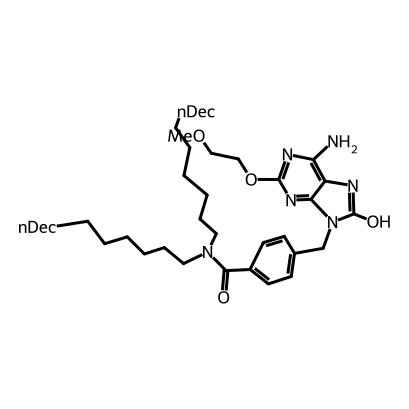 CCCCCCCCCCCCCCCCN(CCCCCCCCCCCCCCCC)C(=O)c1ccc(Cn2c(O)nc3c(N)nc(OCCOC)nc32)cc1